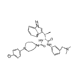 C[C@H](c1c[nH]c2ccccc12)[C@@H](NC(=O)N1CCN(c2ccc(Cl)cc2)CC1)C(=O)Nc1cccc(CN(C)C)c1